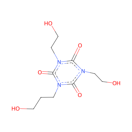 O=c1n(CCO)c(=O)n(CCCO)c(=O)n1CCO